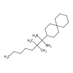 BC(B)(C1CCC2(CCCCC2)CC1)C(C)(C)CCCCC